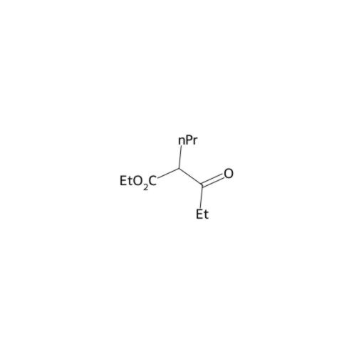 CCCC(C(=O)CC)C(=O)OCC